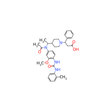 COc1cc(N(C(C)=O)C(C)C2CCN(C(CC(=O)O)c3ccccc3)CC2)ccc1NC(=O)Nc1ccccc1C